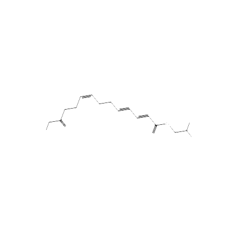 CCC(=O)CC/C=C\CC/C=C/C=C/C(=O)NCC(C)C